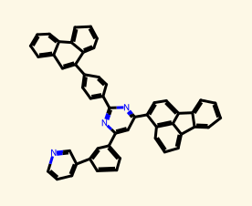 c1cncc(-c2cccc(-c3cc(-c4ccc5c6c(cccc46)-c4ccccc4-5)nc(-c4ccc(-c5cc6ccccc6c6ccccc56)cc4)n3)c2)c1